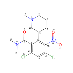 CN1CCCC(c2c(C(=O)N(C)C)c(Cl)cc(F)c2[N+](=O)[O-])C1